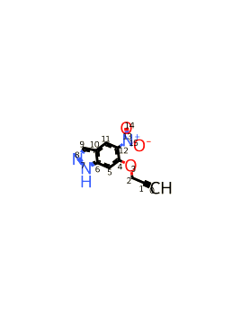 C#CCOc1cc2[nH]ncc2cc1[N+](=O)[O-]